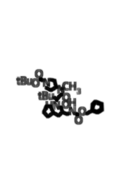 CN(C(=O)C(NC(=O)C(CNC(=O)OCc1ccccc1)CC1CCCC1)C(C)(C)C)C1CCN(C(=O)OC(C)(C)C)CC1